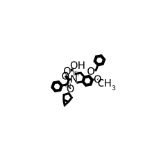 COc1ccc2c(c1OCc1ccccc1)C[C@@H](C(=O)O)N(C(=O)[C@@H](OC1CC3CC3C1)c1ccccc1)C2